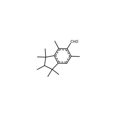 Cc1cc2c(c(C)c1C=O)C(C)(C)C(C)C2(C)C